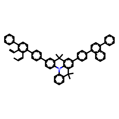 C=Cc1c(-c2ccccc2)ccc(-c2ccc(-c3ccc4c(c3)C(C)(C)c3cc(-c5ccc(-c6ccc(-c7ccccc7)c7ccccc67)cc5)cc5c3N4c3ccccc3C5(C)C)cc2)c1/C=C\C